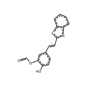 O=COc1cc(/C=C/c2nc3ccccc3s2)ccc1O